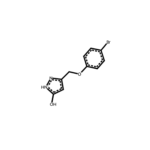 Oc1cc(COc2ccc(Br)cc2)n[nH]1